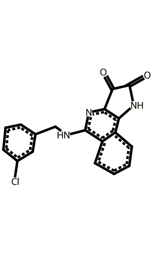 O=C1Nc2c(nc(NCc3cccc(Cl)c3)c3ccccc23)C1=O